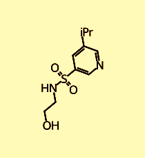 CC(C)c1cncc(S(=O)(=O)NCCO)c1